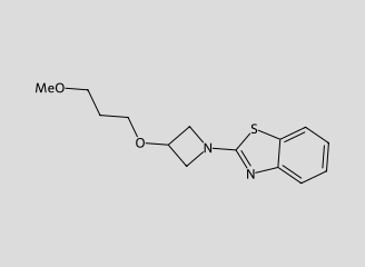 COCCCOC1CN(c2nc3ccccc3s2)C1